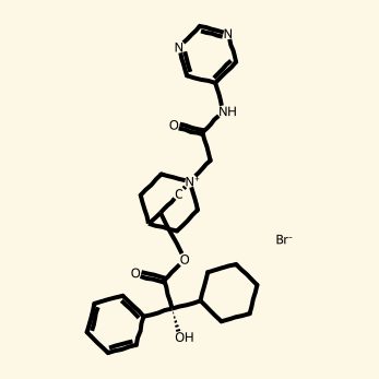 O=C(C[N+]12CCC(CC1)C(OC(=O)[C@](O)(c1ccccc1)C1CCCCC1)C2)Nc1cncnc1.[Br-]